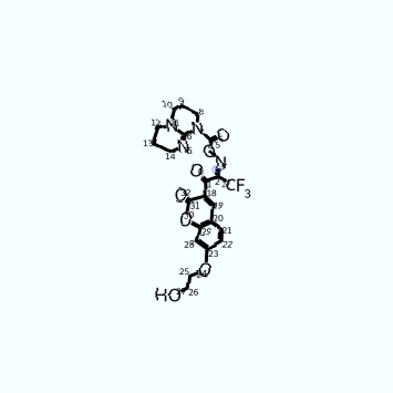 O=C(/C(=N\OC(=O)N1CCCN2CCCN=C21)C(F)(F)F)c1cc2ccc(OCCO)cc2oc1=O